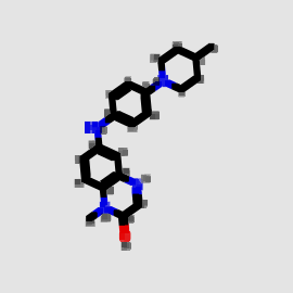 CC1CCN(c2ccc(Nc3ccc4c(c3)ncc(=O)n4C)cc2)CC1